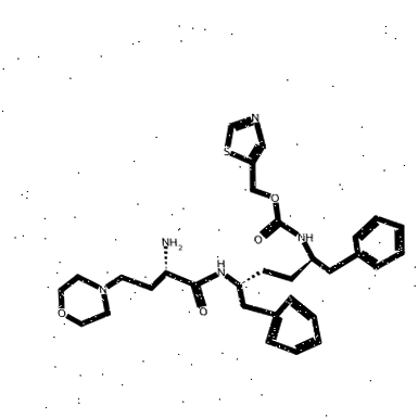 N[C@@H](CCN1CCOCC1)C(=O)N[C@H](CC[C@H](Cc1ccccc1)NC(=O)OCc1cncs1)Cc1ccccc1